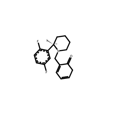 O=C1CC=CC=C1CN1CCCC[C@]1(I)c1cc(F)ccc1F